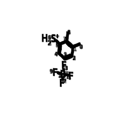 Cc1cccc([SH2+])c1C.F[B-](F)(F)F